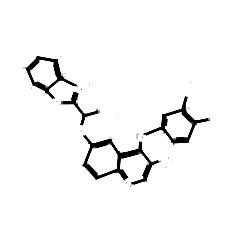 CC(Nc1ccc2ncc(C#N)c(Nc3ccc(F)c(Cl)c3)c2c1)c1nc2ccccc2[nH]1